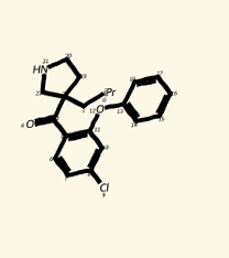 CC(C)CC1(C(=O)c2ccc(Cl)cc2Oc2ccccc2)CCNC1